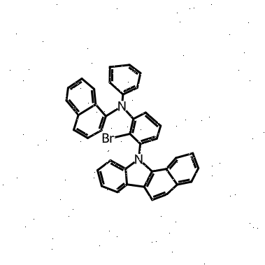 Brc1c(N(c2ccccc2)c2cccc3ccccc23)cccc1-n1c2ccccc2c2ccc3ccccc3c21